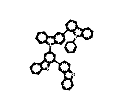 C1=CCC(n2c3ccccc3c3cccc(-c4ccc5c(c4)c4ccccc4n5-c4cc(-c5ccc6oc7ccccc7c6c5)c5sc6ccccc6c5c4)c32)C=C1